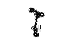 O=C(NCCCCCCCS(=O)(=O)N(OCCN1CCOCC1)C1CCCCC1)NCc1cccnc1